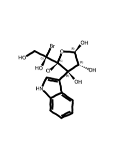 OC[C@](O)(Br)[C@]1(Cl)O[C@@H](O)[C@H](O)[C@]1(O)c1c[nH]c2ccccc12